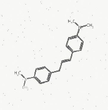 CN(C)c1ccc(C=CCc2ccc(N(C)C)cc2)cc1